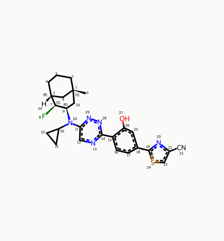 C[C@]12CCC[C@H](C1)[C@H](F)[C@H](N(c1cnc(-c3ccc(-c4nc(C#N)cs4)cc3O)nn1)C1CC1)C2